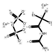 CCC(Br)(CC)C(=O)NC(N)=O.O=P([O-])([O-])OP(=O)([O-])[O-].[Ca+2].[Ca+2]